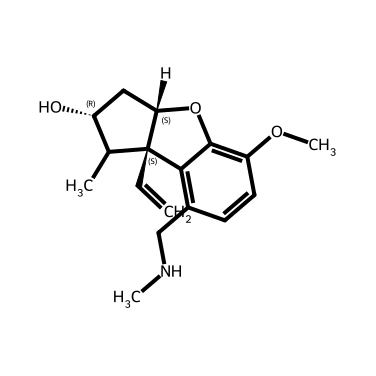 C=C[C@]12c3c(CNC)ccc(OC)c3O[C@H]1C[C@@H](O)C2C